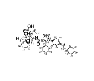 CC(C)(C)C1C(Cc2ccccc2)N(C(=O)c2nnn(-c3ccc(OCc4ccccc4)cc3)c2-c2ccccc2)CCN1C(=O)O